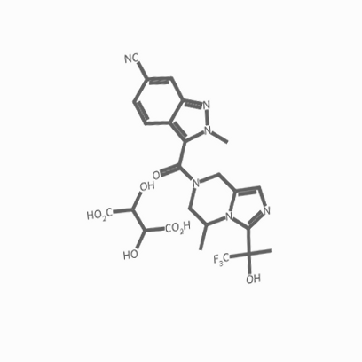 CC1CN(C(=O)c2c3ccc(C#N)cc3nn2C)Cc2cnc(C(C)(O)C(F)(F)F)n21.O=C(O)C(O)C(O)C(=O)O